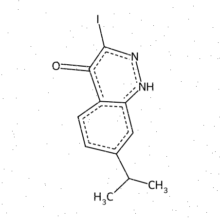 CC(C)c1ccc2c(=O)c(I)n[nH]c2c1